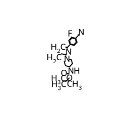 C=C/C(=N\C(=C)c1ccc(C#N)c(F)c1)N1CCC(NC(=O)OC(C)(C)C)CC1